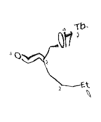 CCCC(=O)O.[Tb]